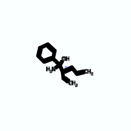 C=C/C=C(\C=C)C(N)(O)c1ccccc1